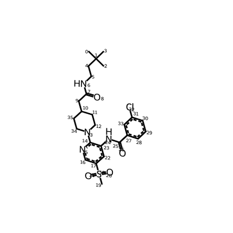 CC(C)(C)CCNC(=O)CC1CCN(c2ncc(S(C)(=O)=O)cc2NC(=O)c2cccc(Cl)c2)CC1